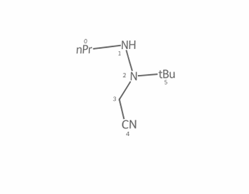 CCCNN(CC#N)C(C)(C)C